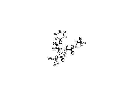 CCC(C)(CC(C)(CC(C)(C)C(=O)OCCC(C)(F)F)C(=O)OC(C)(C)C(C)C)C(=O)OC1CCCCC1